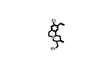 C=Cc1cc2c(cc1CC)CCN1CC(CC(C)C)C(=C)CC21